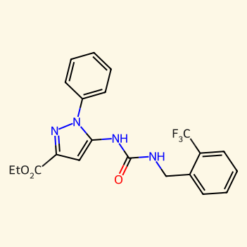 CCOC(=O)c1cc(NC(=O)NCc2ccccc2C(F)(F)F)n(-c2ccccc2)n1